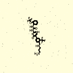 NCCCNCc1ccc(-c2c[nH]c(NC(=O)Nc3ccccc3OC(F)(F)F)nc2=O)cc1C(F)(F)F